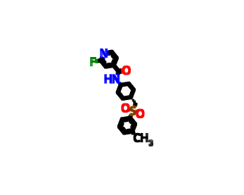 Cc1cccc(S(=O)(=O)C[C@H]2CC[C@H](NC(=O)c3ccnc(F)c3)CC2)c1